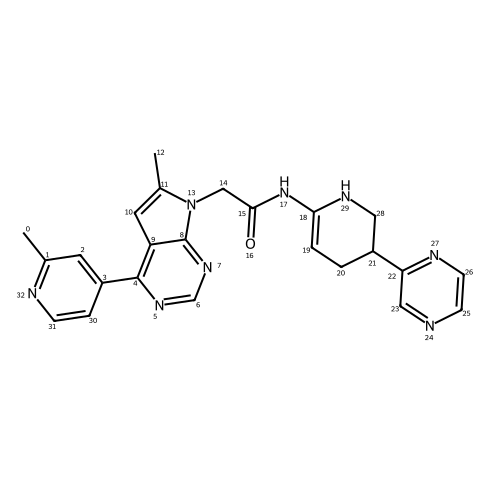 Cc1cc(-c2ncnc3c2cc(C)n3CC(=O)NC2=CCC(c3cnccn3)CN2)ccn1